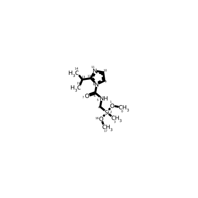 CO[Si](C)(CNC(=O)n1ccnc1C(C)C)OC